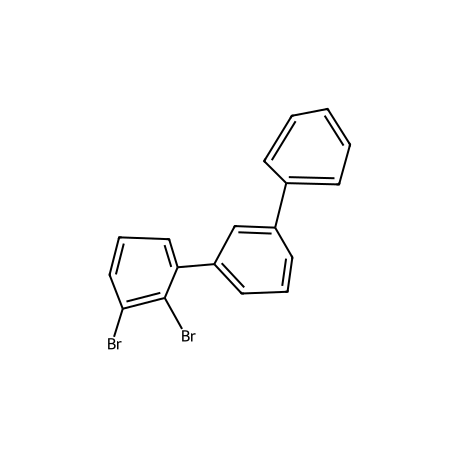 Brc1cccc(-c2cccc(-c3ccccc3)c2)c1Br